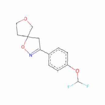 FC(F)Oc1[c]cc(C2=NOC3(CCOC3)C2)cc1